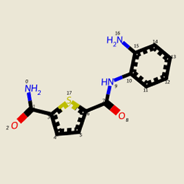 NC(=O)c1ccc(C(=O)Nc2ccccc2N)s1